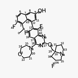 CCc1c(F)ccc2cc(O)cc(-c3c(F)cc4c(N5CCCOCC5)nc(OC[C@@]56CCCN5C[C@H](F)C6)nc4c3F)c12